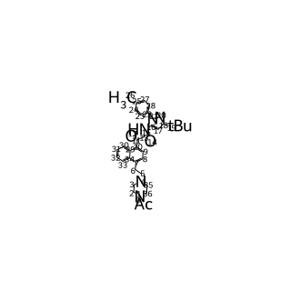 CC(=O)N1CCN(CCc2ccc(C(=O)C(=O)Nc3cc(C(C)(C)C)nn3-c3ccc(C)cc3)c3ccccc23)CC1